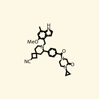 COc1cc(C)c2[nH]ccc2c1CN1CCC2(CC(C#N)C2)CC1c1ccc(C(=O)N2CCN(C3CC3)C(=O)C2)cc1